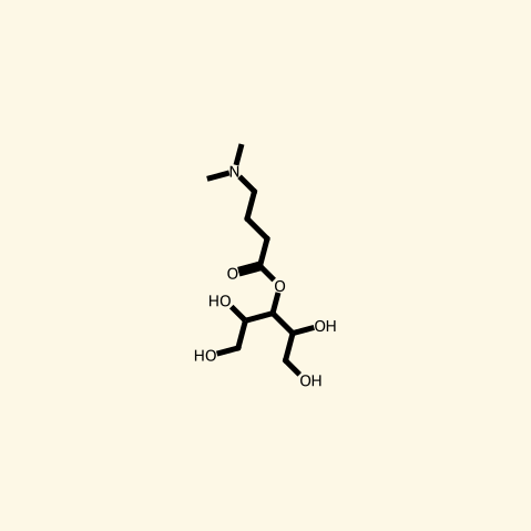 CN(C)CCCC(=O)OC(C(O)CO)C(O)CO